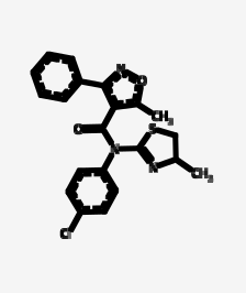 Cc1onc(-c2ccccc2)c1C(=O)N(C1=NC(C)CS1)c1ccc(Cl)cc1